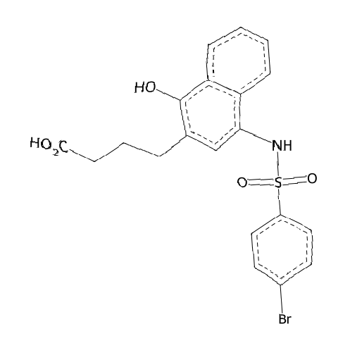 O=C(O)CCCc1cc(NS(=O)(=O)c2ccc(Br)cc2)c2ccccc2c1O